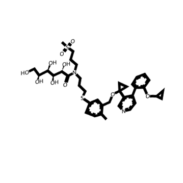 Cc1ccc(SCCCN(CCCS(C)(=O)=O)C(=O)[C@@H](O)[C@@H](O)[C@H](O)[C@@H](O)CO)cc1COC1(c2cnccc2-c2ccccc2OC2CC2)CC1